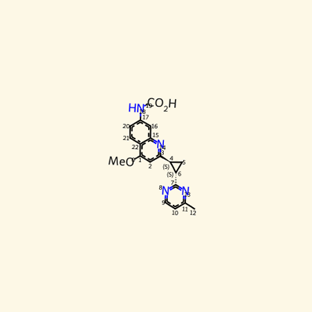 COc1cc([C@H]2C[C@@H]2c2nccc(C)n2)nc2cc(NC(=O)O)ccc12